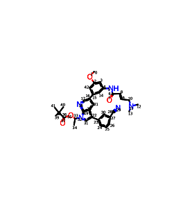 COc1cc(NC(=O)C=CCN(C)C)cc(-c2cnc3c(c2)c(-c2cccc(C#N)c2)cn3C(C)OC(=O)C(C)(C)C)c1